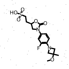 COC1(C)CN(c2ccc(N3CC(CCS(=O)(=O)O)OC3=O)cc2F)C1